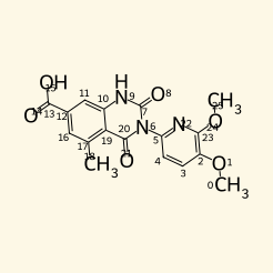 COc1ccc(-n2c(=O)[nH]c3cc(C(=O)O)cc(C)c3c2=O)nc1OC